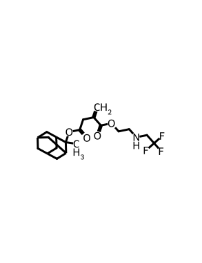 C=C(CC(=O)OC1(C)C2CC3CC(C2)CC1C3)C(=O)OCCNCC(F)(F)F